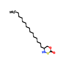 O=C(O)CCCCCCCCCCCCCCC1COC(=O)SN1